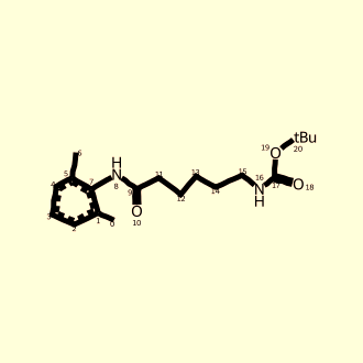 Cc1cccc(C)c1NC(=O)CCCCCNC(=O)OC(C)(C)C